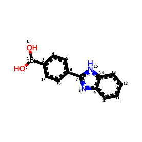 OB(O)c1ccc(-c2nc3ccccc3[nH]2)cc1